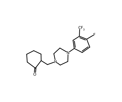 O=C1CCCCC1CN1CCN(c2ccc(F)c(C(F)(F)F)c2)CC1